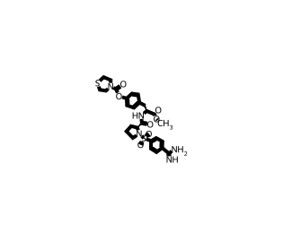 COC(=O)[C@H](Cc1ccc(OC(=O)N2CCSCC2)cc1)NC(=O)[C@@H]1CCCN1S(=O)(=O)c1ccc(C(=N)N)cc1